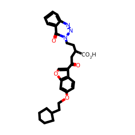 O=C(CC(CCn1nnc2ccccc2c1=O)C(=O)O)c1coc2cc(OCCC3CCCCC3)ccc12